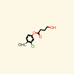 O=Cc1ccc(OC(=O)CCCO)cc1Cl